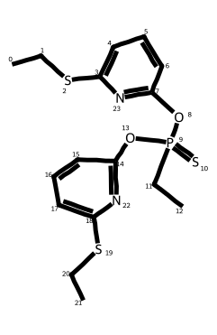 CCSc1cccc(OP(=S)(CC)Oc2cccc(SCC)n2)n1